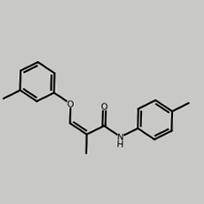 CC(=COc1cccc(C)c1)C(=O)Nc1ccc(C)cc1